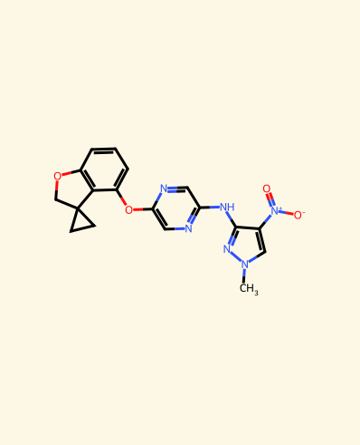 Cn1cc([N+](=O)[O-])c(Nc2cnc(Oc3cccc4c3C3(CC3)CO4)cn2)n1